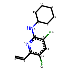 C=Cc1nc(NC2CCCCC2)c(F)cc1F